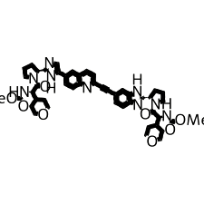 COC(=O)N[C@H](C(=O)N1CCC[C@H]1c1ncc(-c2ccc3nc(C#Cc4ccc5nc([C@@H]6CCCN6C(=O)[C@@H](NC(=O)OC)C6CCOCC6)[nH]c5c4)ccc3c2)[nH]1)C1CCOCC1